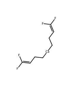 FC(F)=CC[CH2][Ca][CH2]CC=C(F)F